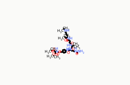 CC(C)NCCCC[C@H](NC(=O)CCC(=O)N[C@H](C(=O)N[C@@H](CCCNC(N)=O)C(=O)Nc1ccc(COC(=O)NC(C(=O)OC(C)C)C(=O)OC(C)C)cc1)C(C)C)C(=O)C(C)C